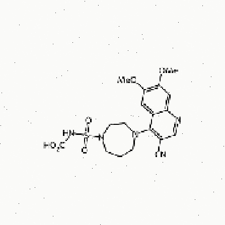 COc1cc2ncc(C#N)c(N3CCCN(S(=O)(=O)NC(=O)O)CC3)c2cc1OC